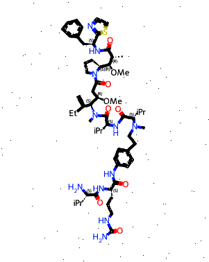 C=C(CC)[C@@H]([C@@H](CC(=O)N1CCC[C@H]1[C@H](OC)[C@@H](C)C(=O)N[C@@H](Cc1ccccc1)c1nccs1)OC)N(C)C(=O)[C@@H](NC(=O)[C@H](C(C)C)N(C)CCc1ccc(NC(=O)[C@H](CCCNC(N)=O)NC(=O)[C@@H](N)C(C)C)cc1)C(C)C